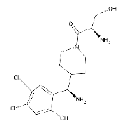 N[C@H](CO)C(=O)N1CCC([C@@H](N)c2cc(Cl)c(Cl)cc2O)CC1